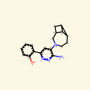 Nc1nnc(-c2ccccc2O)cc1N1CCC2C3CC(C1)C23